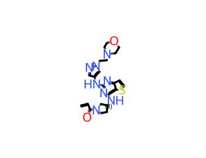 C=CC(=O)N1CC[C@@H](Nc2nc(Nc3cnn(CCN4CCOCC4)c3)nc3ccsc23)C1